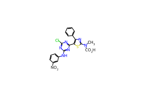 CN(C(=O)O)c1nc(-c2ccccc2)c(-c2nc(Cl)nc(Nc3cccc([N+](=O)[O-])c3)n2)s1